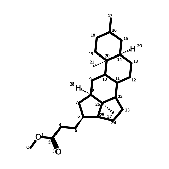 COC(=O)CC[C@H]1C[C@H]2CC3C(CC[C@@H]4CC(C)CC[C@]34C)C3CCC1[C@]32C